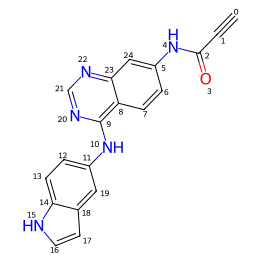 C#CC(=O)Nc1ccc2c(Nc3ccc4[nH]ccc4c3)ncnc2c1